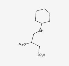 COC(CNC1CCCCC1)CS(=O)(=O)O